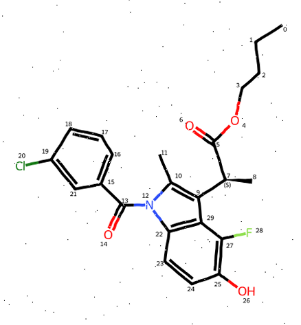 CCCCOC(=O)[C@@H](C)c1c(C)n(C(=O)c2cccc(Cl)c2)c2ccc(O)c(F)c12